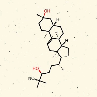 C[C@H](CC[C@H](O)C(C)(C)C#N)[C@H]1CC[C@H]2[C@@H]3CC[C@H]4C[C@@](C)(O)CC[C@]4(C)C3=CC[C@]12C